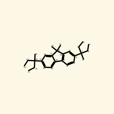 CCC(C)(CC)c1ccc2c(c1)C(C)(C)c1cc(C(C)(CC)CC)ccc1-2